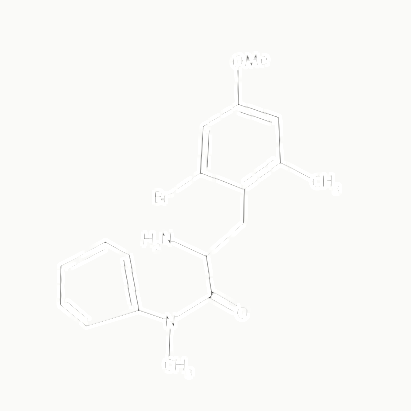 COc1cc(C)c(CC(N)C(=O)N(C)c2ccccc2)c(Br)c1